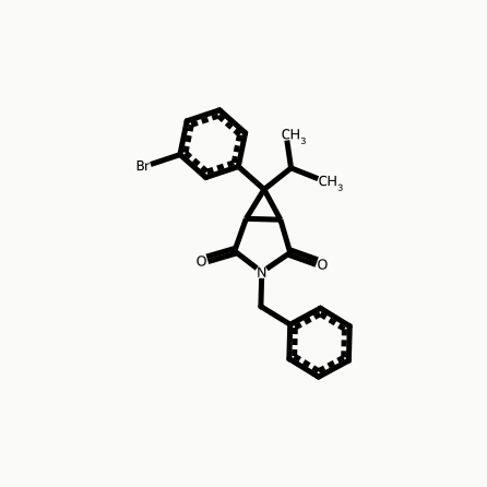 CC(C)C1(c2cccc(Br)c2)C2C(=O)N(Cc3ccccc3)C(=O)C21